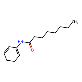 CCCCCCCC(=O)NC1=CCCC=C1